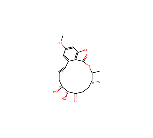 COc1cc(O)c2c(c1)/C=C/C[C@H](O)[C@H](O)C(=O)CC[C@@H](C)C(C)OC2=O